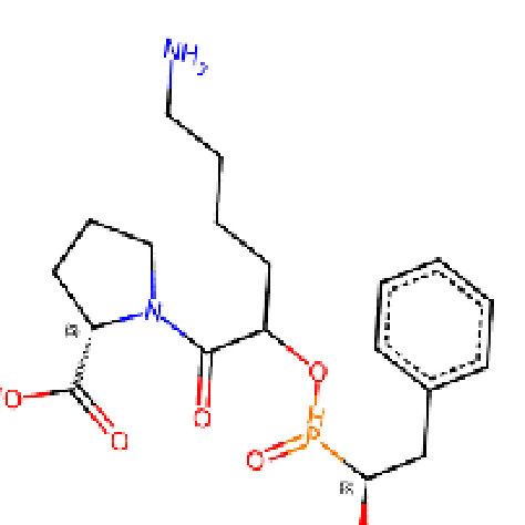 NCCCCC(O[PH](=O)[C@H](O)Cc1ccccc1)C(=O)N1CCC[C@H]1C(=O)O